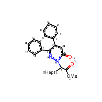 CCCCCCCC(C(=O)OC)n1nc(-c2ccccc2)c(-c2ccccc2)cc1=O